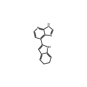 C1=c2cc(-c3ccnc4[nH]cnc34)[nH]c2=CCC1